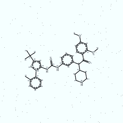 COc1ccc(C(=O)C(c2cccc(NC(=O)Nc3cc(C(C)(C)C)nn3-c3ccccc3C)c2)C2CCNCC2)c(OC)c1